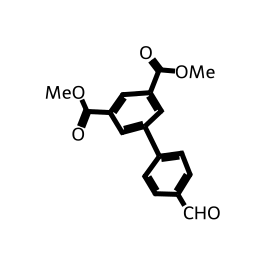 COC(=O)c1cc(C(=O)OC)cc(-c2ccc(C=O)cc2)c1